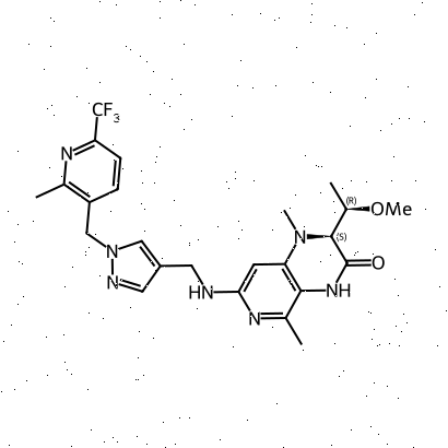 CO[C@H](C)[C@H]1C(=O)Nc2c(cc(NCc3cnn(Cc4ccc(C(F)(F)F)nc4C)c3)nc2C)N1C